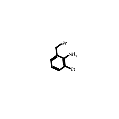 CCc1cccc(CC(C)C)c1N